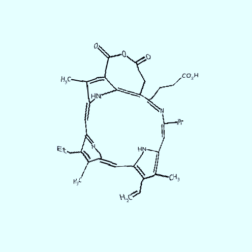 C=Cc1c(C)c2cc(C(C)C)nc(CCC(=O)O)c3c4[nH]c(cc5nc(cc1[nH]2)C(C)=C5CC)c(C)c4C(=O)OC(=O)C3